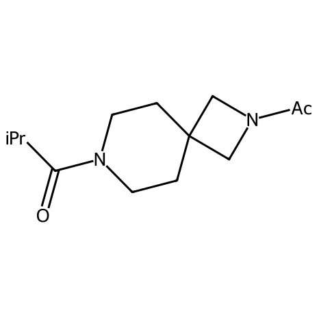 CC(=O)N1CC2(CCN(C(=O)C(C)C)CC2)C1